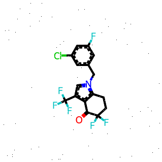 O=C1c2c(C(F)(F)F)cn(Cc3cc(F)cc(Cl)c3)c2CCC1(F)F